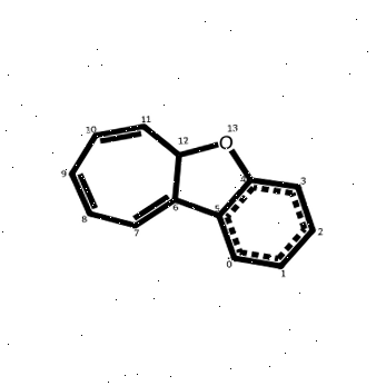 [c]1cccc2c1C1=CC=CC=CC1O2